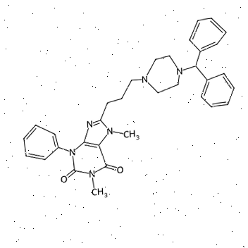 Cn1c(=O)c2c(nc(CCCN3CCN(C(c4ccccc4)c4ccccc4)CC3)n2C)n(-c2ccccc2)c1=O